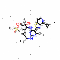 Cc1nc(N[C@H](C)C2CC2)nc(NC2C[C@H](CS(C)(=O)=O)[C@@H](O)[C@@]2(C)O)c1-c1nc2c(C3CC3)nccc2s1